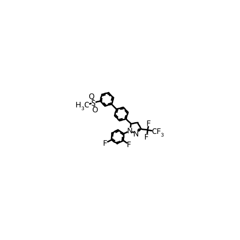 CS(=O)(=O)c1cccc(-c2ccc(C3CC(C(F)(F)C(F)(F)F)=NN3c3ccc(F)cc3F)cc2)c1